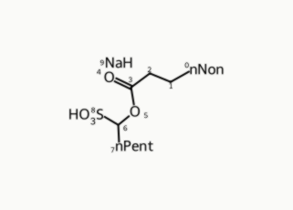 CCCCCCCCCCCC(=O)OC(CCCCC)S(=O)(=O)O.[NaH]